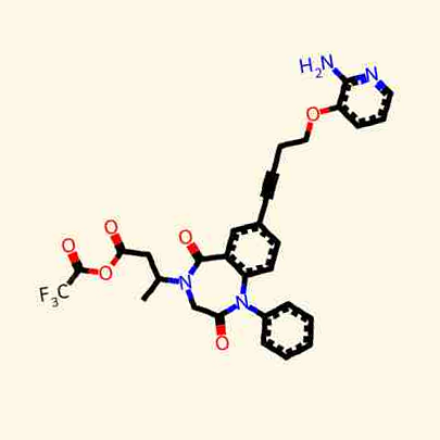 CC(CC(=O)OC(=O)C(F)(F)F)N1CC(=O)N(c2ccccc2)c2ccc(C#CCCOc3cccnc3N)cc2C1=O